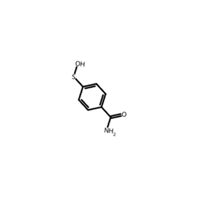 NC(=O)c1ccc(SO)cc1